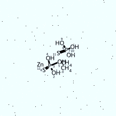 C.C.OP(O)(O)=S.OP(O)(O)=S.[Zn]